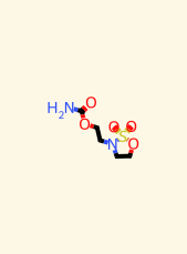 NC(=O)OCCN1CCOS1(=O)=O